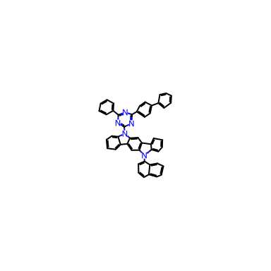 c1ccc(-c2ccc(-c3nc(-c4ccccc4)nc(-n4c5ccccc5c5cc6c(cc54)c4ccccc4n6-c4cccc5ccccc45)n3)cc2)cc1